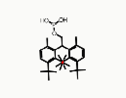 Cc1ccc(C(C)(C)C)c(C(C)(C)C)c1C(COP(O)O)c1c(C)ccc(C(C)(C)C)c1C(C)(C)C